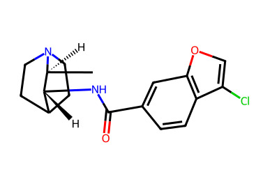 C[C@H]1[C@H](NC(=O)c2ccc3c(Cl)coc3c2)C2CCN1CC2